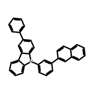 c1ccc(-c2ccc3c(c2)c2ccccc2n3-c2cccc(-c3ccc4ccccc4c3)c2)cc1